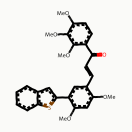 COc1cc(OC)c(-c2cc3ccccc3s2)cc1C=CC(=O)c1ccc(OC)c(OC)c1OC